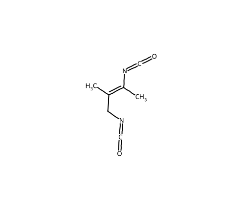 CC(CN=C=O)=C(C)N=C=O